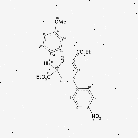 CCOC(=O)C1=CC(c2ccc([N+](=O)[O-])cc2)CC(Nc2ccc(OC)cc2)(C(=O)OCC)O1